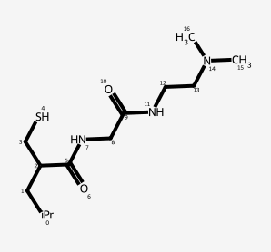 CC(C)CC(CS)C(=O)NCC(=O)NCCN(C)C